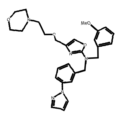 COc1cccc(CN(Cc2cccc(-n3cccn3)c2)c2nc(COCCN3CCOCC3)co2)c1